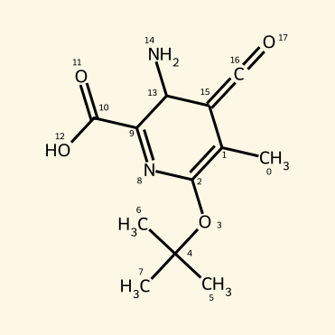 CC1=C(OC(C)(C)C)N=C(C(=O)O)C(N)C1=C=O